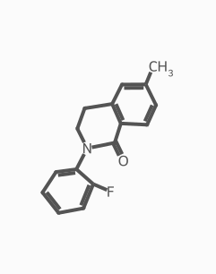 Cc1ccc2c(c1)CCN(c1ccccc1F)C2=O